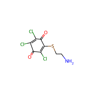 NCCSC1=C(Cl)C(=O)C(Cl)=C(Cl)C1=O